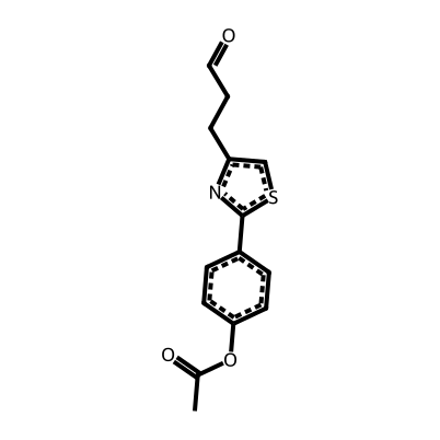 CC(=O)Oc1ccc(-c2nc(CCC=O)cs2)cc1